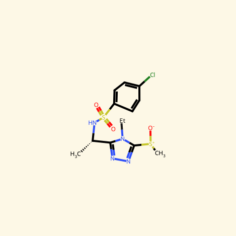 CCn1c([C@H](C)NS(=O)(=O)c2ccc(Cl)cc2)nnc1[S+](C)[O-]